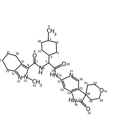 CC1CCC(C(NC(=O)c2c3c(nn2C)CCCC3)C(=O)Nc2cc3c(cn2)C2(CCOCC2)C(=O)N3)CC1